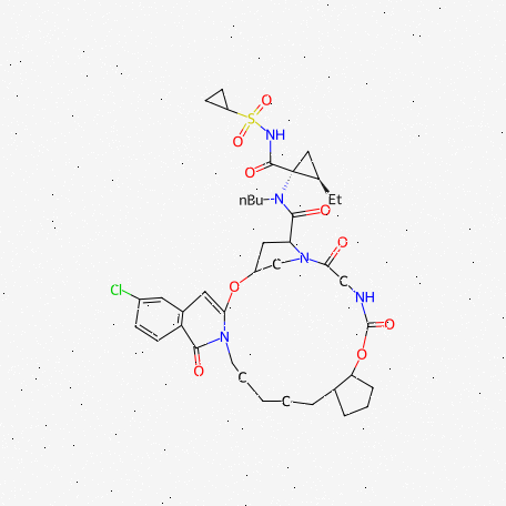 CCCCN(C(=O)C1CC2CN1C(=O)CNC(=O)OC1CCCC1CCCCCn1c(cc3cc(Cl)ccc3c1=O)O2)[C@]1(C(=O)NS(=O)(=O)C2CC2)C[C@H]1CC